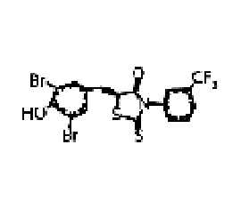 O=C1C(=Cc2cc(Br)c(O)c(Br)c2)SC(=S)N1c1cccc(C(F)(F)F)c1